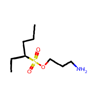 CCCC(CC)S(=O)(=O)OCCCN